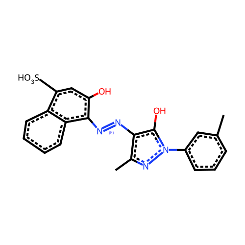 Cc1cccc(-n2nc(C)c(/N=N/c3c(O)cc(S(=O)(=O)O)c4ccccc34)c2O)c1